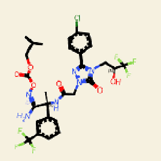 CC(C)COC(=O)O/N=C(/N)[C@](C)(NC(=O)Cn1nc(-c2ccc(Cl)cc2)n(C[C@H](O)C(F)(F)F)c1=O)c1cccc(C(F)(F)F)c1